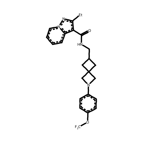 CCc1nn2ccccc2c1C(=O)NCC1CC2(C1)CN(c1ccc(OC(F)(F)F)cc1)C2